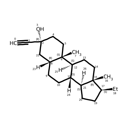 C#C[C@@]1(O)CC[C@@]2(C)[C@H](CC[C@@H]3[C@@H]2CC[C@]2(C)[C@@H](CC)CC[C@@H]32)C1